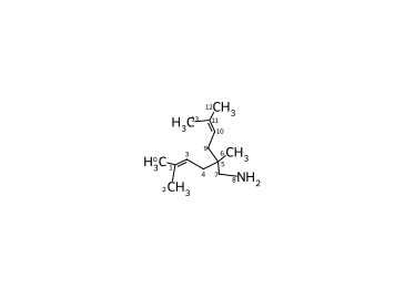 CC(C)=CCC(C)(CN)CC=C(C)C